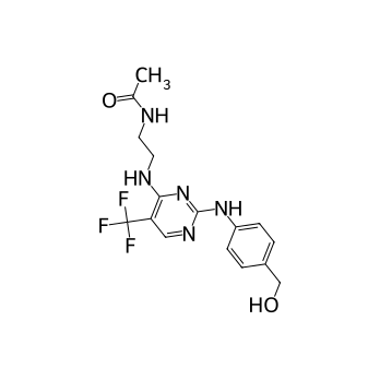 CC(=O)NCCNc1nc(Nc2ccc(CO)cc2)ncc1C(F)(F)F